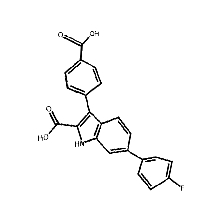 O=C(O)c1ccc(-c2c(C(=O)O)[nH]c3cc(-c4ccc(F)cc4)ccc23)cc1